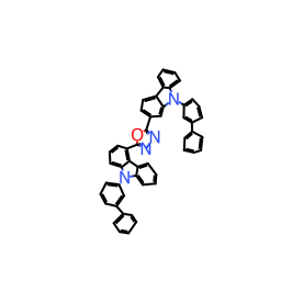 c1ccc(-c2cccc(-n3c4ccccc4c4ccc(-c5nnc(-c6cccc7c6c6ccccc6n7-c6cccc(-c7ccccc7)c6)o5)cc43)c2)cc1